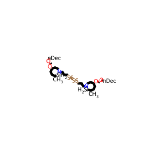 CCCCCCCCCCOCOC1CCC(C)[SiH2]N(CCCSSSSCCCN2CCC(OCOCCCCCCCCCC)CCC(C)[SiH2]2)CC1